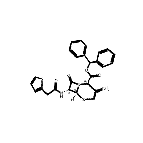 C=C1CS[C@H]2[C@H](NC(=O)Cc3cccs3)C(=O)N2[C@H]1C(=O)OC(c1ccccc1)c1ccccc1